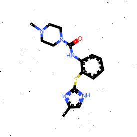 Cc1c[nH]c(Sc2ccccc2NC(=O)N2CCN(C)CC2)n1